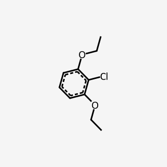 CCOc1cccc(OCC)c1Cl